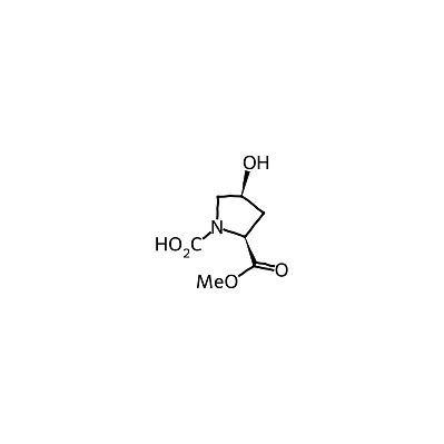 COC(=O)[C@@H]1C[C@H](O)CN1C(=O)O